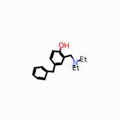 CCN(CC)Cc1cc(Cc2ccccc2)ccc1O